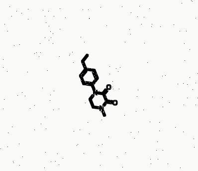 CCc1ccc(N2CCN(C)C(=O)C2=O)cc1